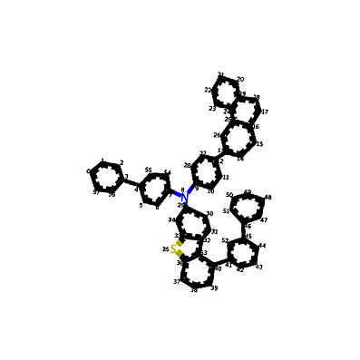 c1ccc(-c2ccc(N(c3ccc(-c4ccc5ccc6ccccc6c5c4)cc3)c3ccc4c(c3)sc3cccc(-c5cccc(-c6ccccc6)c5)c34)cc2)cc1